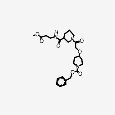 COC(=O)CCNC(=O)C1CCCN(C(=O)COC2CCN(C(=O)OCc3ccccc3)CC2)C1